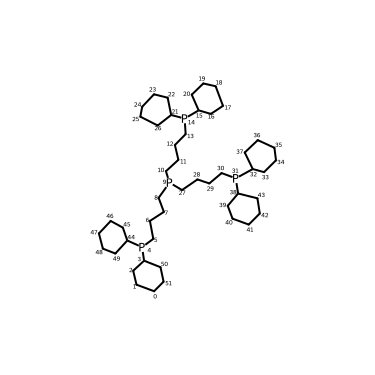 C1CCC(P(CCCCP(CCCCP(C2CCCCC2)C2CCCCC2)CCCCP(C2CCCCC2)C2CCCCC2)C2CCCCC2)CC1